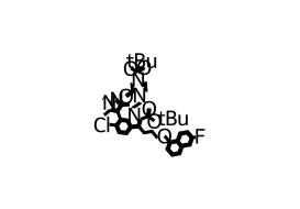 Cc1nn(C)c(C)c1-c1c(Cl)ccc2c(CCCOc3cccc4cc(F)ccc34)c(C(=O)OC(C)(C)C)n(CCN3CCN(C(=O)OC(C)(C)C)CC3=O)c12